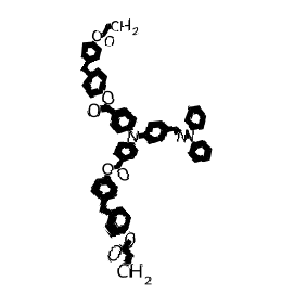 C=CC(=O)Oc1ccc(Cc2ccc(OC(=O)c3ccc(N(c4ccc(C=NN(c5ccccc5)c5ccccc5)cc4)c4ccc(C(=O)Oc5ccc(Cc6ccc(OC(=O)C=C)cc6)cc5)cc4)cc3)cc2)cc1